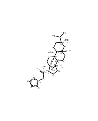 C[C@]12CC[C@H]3[C@@H](CC[C@H]4C[C@](O)(C(F)F)CC[C@@H]43)[C@@H]1CC[C@@H]2C(=O)Cn1nccn1